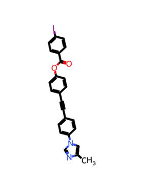 Cc1cn(-c2ccc(C#Cc3ccc(OC(=O)c4ccc(I)cc4)cc3)cc2)cn1